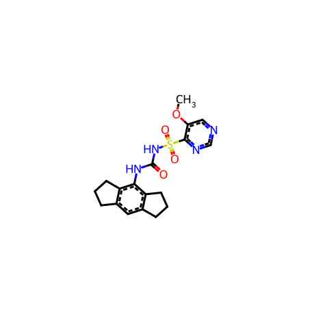 COc1cncnc1S(=O)(=O)NC(=O)Nc1c2c(cc3c1CCC3)CCC2